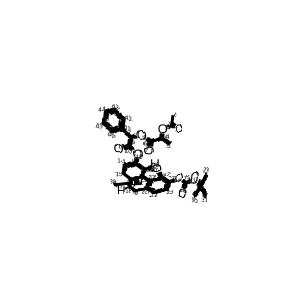 CC(=O)OC(C)C(=O)OC(C(=O)OC1=CC[C@@]2(O)[C@H]3Cc4ccc(OC(=O)OC(C)(C)C)c5c4[C@@]2(CCN3C)[C@H]1O5)c1ccccc1